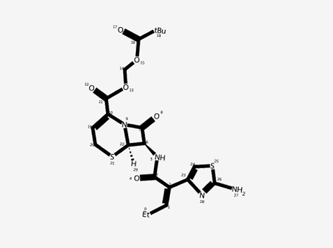 CC/C=C(\C(=O)N[C@@H]1C(=O)N2C(C(=O)OCOC(=O)C(C)(C)C)=CCS[C@H]12)c1csc(N)n1